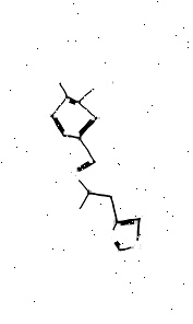 COc1cc(C=NC(Cc2c[nH]cn2)C(=O)O)ccc1O